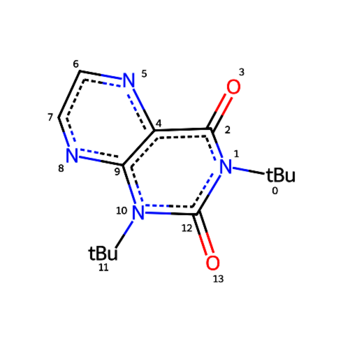 CC(C)(C)n1c(=O)c2nccnc2n(C(C)(C)C)c1=O